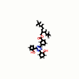 CC(CCC(COC(=O)c1cccc(-c2nc(-c3ccccc3O)nc(-c3ccccc3O)n2)c1)C(C)CC(C)(C)C)CC(C)(C)C